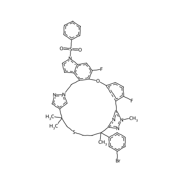 Cn1nc2nc1-c1cc(ccc1F)Oc1c(F)cc3c(ccn3S(=O)(=O)c3ccccc3)c1Cn1cc(cn1)C(C)(C)CSCCC2(C)c1cccc(Br)c1